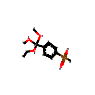 CCO[Si](OC)(OC)c1ccc(S(C)(=O)=O)cc1